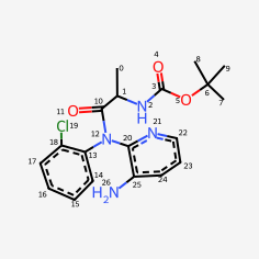 CC(NC(=O)OC(C)(C)C)C(=O)N(c1ccccc1Cl)c1ncccc1N